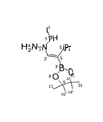 CC(C)/C(=C\N(N)PI)B1OC(C)(C)C(C)(C)O1